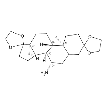 C[C@]12CCC3(CC1C[C@H](N)[C@@H]1[C@@H]2CC[C@@]2(C)[C@H]1CCC21OCCO1)OCCO3